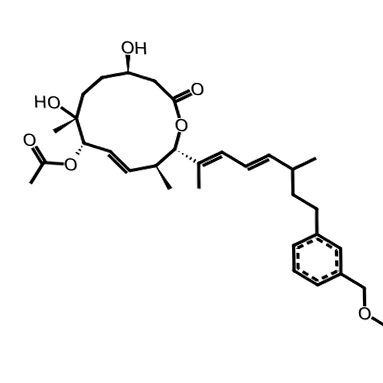 COCc1cccc(CCC(C)/C=C/C=C(\C)[C@H]2OC(=O)C[C@H](O)CC[C@@](C)(O)[C@@H](OC(C)=O)/C=C/[C@@H]2C)c1